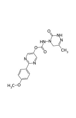 COc1ccc(-c2ncc(OC(=O)NN3CC(C)=NNC3=O)cn2)cc1